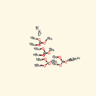 CC(C)(C)[O][Al]([O]C(C)(C)C)[O]C(C)(C)C.CC(C)(C)[O][Al]([O]C(C)(C)C)[O]C(C)(C)C.CC(C)(C)[O][Al]([O]C(C)(C)C)[O]C(C)(C)C.CC(C)(C)[O][Al]([O]C(C)(C)C)[O]C(C)(C)C.[Al+3].[H-].[H-].[H-].[H-].[Li+]